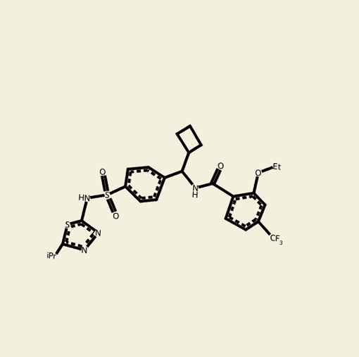 CCOc1cc(C(F)(F)F)ccc1C(=O)NC(c1ccc(S(=O)(=O)Nc2nnc(C(C)C)s2)cc1)C1CCC1